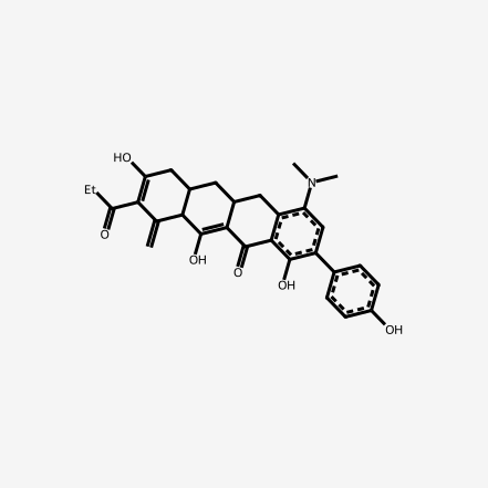 C=C1C(C(=O)CC)=C(O)CC2CC3Cc4c(N(C)C)cc(-c5ccc(O)cc5)c(O)c4C(=O)C3=C(O)C12